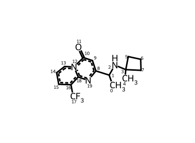 CC(NC1(C)CCC1)c1cc(=O)n2cccc(C(F)(F)F)c2n1